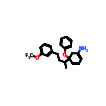 CC(CCc1cccc(OC(F)(F)F)c1)C1(Oc2ccccc2)C=CC=C(N)C1